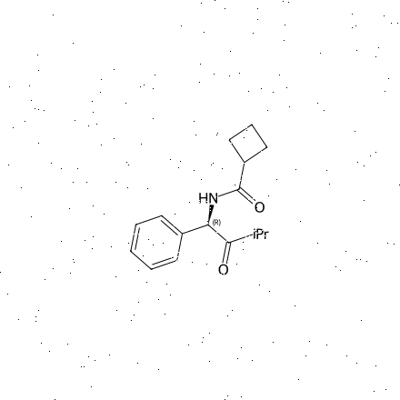 CC(C)C(=O)[C@H](NC(=O)C1CCC1)c1ccccc1